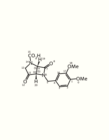 COc1ccc(CN2C(=O)[C@@H]3[C@H]2C(=O)CN3C(=O)O)cc1OC